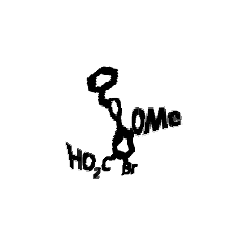 COc1cc(Br)c(C(=O)O)cc1OCc1ccccc1